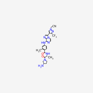 Cc1cc(Nc2nccn3c(-c4cn(CC#N)nc4C(F)(F)F)cnc23)ccc1C(=O)N[C@H](C)C(=O)N1CC[C@@H](N)C1